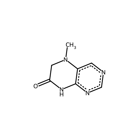 CN1CC(=O)Nc2ncncc21